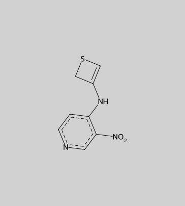 O=[N+]([O-])c1cnccc1NC1=CSC1